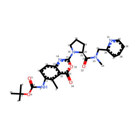 Cc1c(NC(=O)OC(C)(C)C)ccc2nc(N3CCC[C@H]3C(=O)N(C)Cc3ccccn3)oc(=O)c12